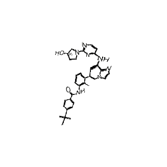 Cc1c(NC(=O)c2ccc(C(C)(C)C)cc2)cccc1-c1cc(Nc2ccnc(N3CC[C@@H](O)C3)n2)c2nccn2c1